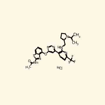 CC(=O)Nc1nc2c(Oc3cc(-c4ccc(C(F)(F)F)nc4NCC4CCCN4C(C)C)ncn3)cccc2s1.Cl